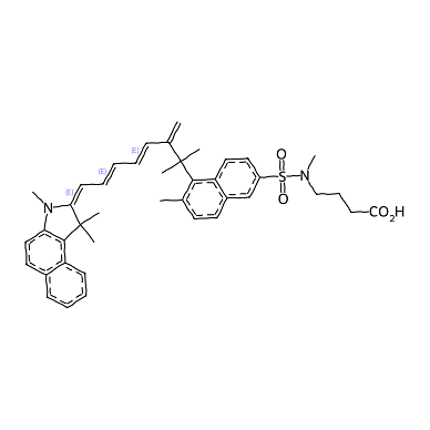 C=C(/C=C/C=C/C=C1/N(C)c2ccc3ccccc3c2C1(C)C)C(C)(C)c1c(C)ccc2cc(S(=O)(=O)N(C)CCCC(=O)O)ccc12